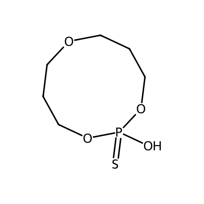 OP1(=S)OCCCOCCCO1